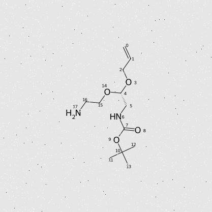 C=CCO[C@H](CNC(=O)OC(C)(C)C)OCCN